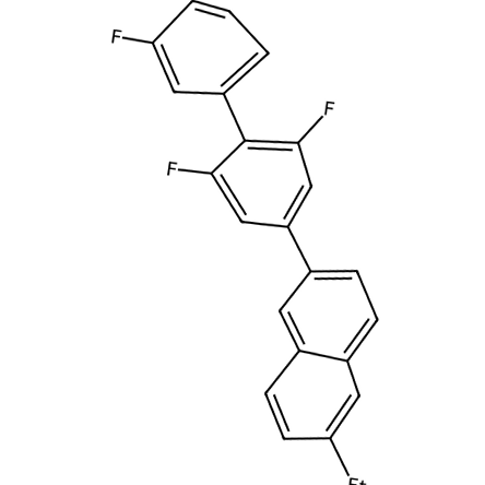 CCc1ccc2cc(-c3cc(F)c(-c4cccc(F)c4)c(F)c3)ccc2c1